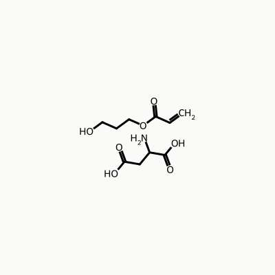 C=CC(=O)OCCCO.NC(CC(=O)O)C(=O)O